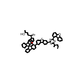 C=C(O)C=CC(c1ccc(-c2c(-c3ccc4sc5cc(-c6nc(C(=C)/C=C\C)nc(-c7cccc8oc9ccccc9c78)n6)ccc5c4c3)ccc3c2C2(c4ccccc4-c4ccccc42)c2ccccc2-3)cc1)C(C)C